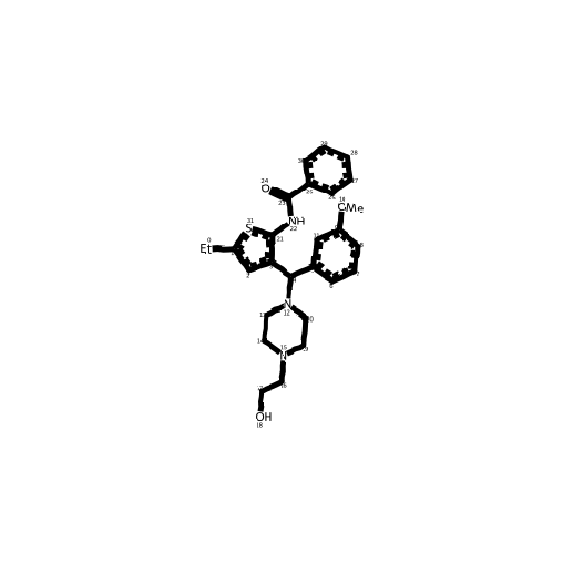 CCc1cc(C(c2cccc(OC)c2)N2CCN(CCO)CC2)c(NC(=O)c2ccccc2)s1